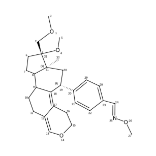 COC[C@]1(OC)CCC2C3CCC4=COCCC4=C3[C@@H](c3ccc(C=NOC)cc3)C[C@@]21C